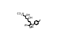 CC(C)c1nnn(-c2ccc(F)cc2)c1C=CC(O)CC(O)CC(=O)O